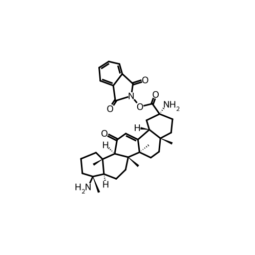 C[C@]12CC[C@](N)(C(=O)ON3C(=O)c4ccccc4C3=O)C[C@H]1C1=CC(=O)[C@@H]3[C@@]4(C)CCC[C@@](C)(N)[C@@H]4CC[C@@]3(C)[C@]1(C)CC2